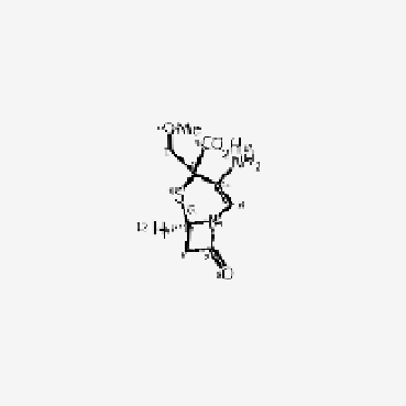 COCC1(C(=O)O)S[C@@H]2CC(=O)N2C=C1N